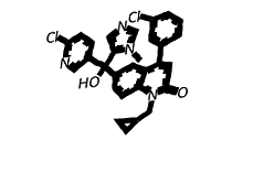 Cn1cncc1C(O)(c1ccc(Cl)nc1)c1ccc2c(c1)c(-c1cccc(Cl)c1)cc(=O)n2CC1CC1